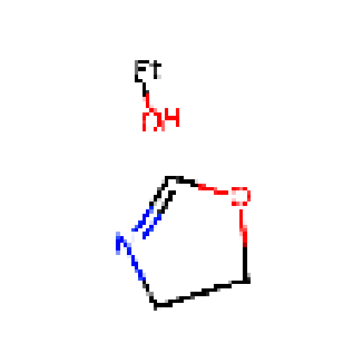 C1=NCCO1.CCO